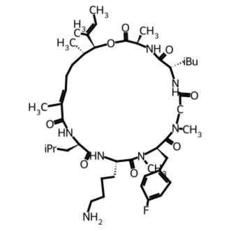 C/C=C(\C)[C@H]1OC(=O)[C@@H](C)NC(=O)[C@H](C(C)CC)NC(=O)CN(C)C(=O)[C@@H](Cc2ccc(F)cc2)N(C)C(=O)[C@H](CCCCN)NC(=O)[C@@H](CC(C)C)NC(=O)/C(C)=C/CC[C@@H]1C